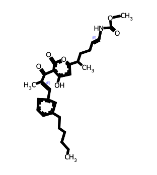 CCCCCCc1cccc(/C=C(\C)C(=O)c2c(O)cc(C(C)CC/C=C/NC(=O)OC)oc2=O)c1